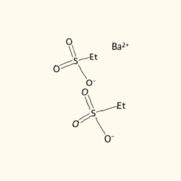 CCS(=O)(=O)[O-].CCS(=O)(=O)[O-].[Ba+2]